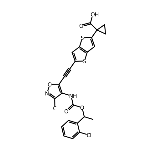 CC(OC(=O)Nc1c(Cl)noc1C#Cc1cc2sc(C3(C(=O)O)CC3)cc2s1)c1ccccc1Cl